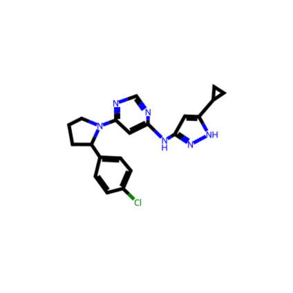 Clc1ccc(C2CCCN2c2cc(Nc3cc(C4CC4)[nH]n3)ncn2)cc1